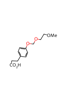 COCCOCOc1ccc(CCC(=O)O)cc1